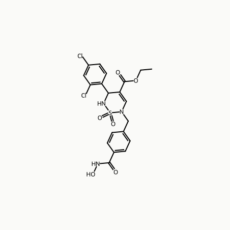 CCOC(=O)C1=CN(Cc2ccc(C(=O)NO)cc2)S(=O)(=O)NC1c1ccc(Cl)cc1Cl